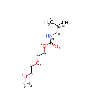 COCCOCCOC(=O)NCC(C)C